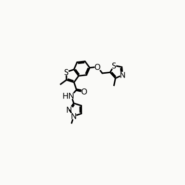 Cc1ncsc1COc1ccc2sc(C)c(C(=O)Nc3ccn(C)n3)c2c1